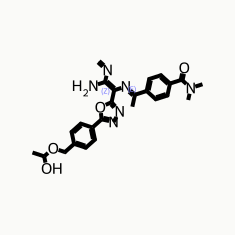 C=N/C(N)=C(\N=C(/C)c1ccc(C(=O)N(C)C)cc1)c1nnc(-c2ccc(COC(C)O)cc2)o1